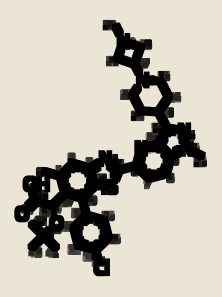 Cc1cc2nc(-c3ccc4c(n3)c(C3CCN(C5CN(C)C5)CC3)nn4C)sc2c(-c2ccc(Cl)cc2)c1[C@H](OC(C)(C)C)C(=O)O